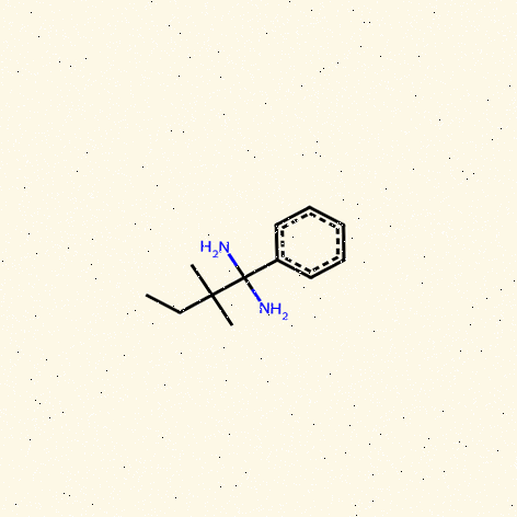 CCC(C)(C)C(N)(N)c1ccccc1